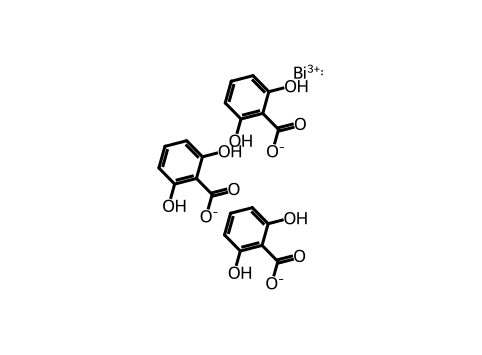 O=C([O-])c1c(O)cccc1O.O=C([O-])c1c(O)cccc1O.O=C([O-])c1c(O)cccc1O.[Bi+3]